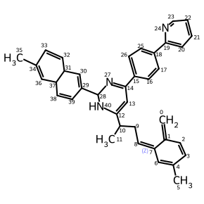 C=c1ccc(C)c/c1=C/CC(C)C1=CC(c2ccc(-c3ccccn3)cc2)=NC(C2=CC3C=CC(C)=CC3C=C2)N1